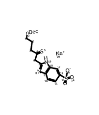 CCCCCCCCCCCCCC(=S)Cc1nc2ccc(S(=O)(=O)[O-])cc2[nH]1.[Na+]